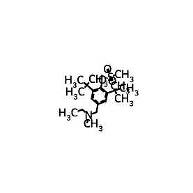 CCN(C)Cc1cc(C(C)(C)C)c(OS(C)(=O)=O)c(C(C)(C)C)c1